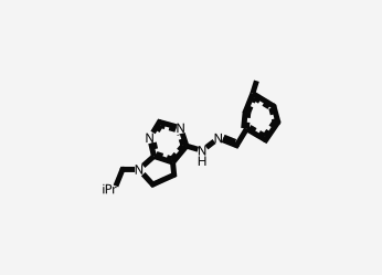 Cc1cccc(C=NNc2ncnc3c2CCN3CC(C)C)c1